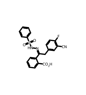 N#Cc1cc(CC(=NNS(=O)(=O)c2ccccc2)c2ccccc2C(=O)O)ccc1F